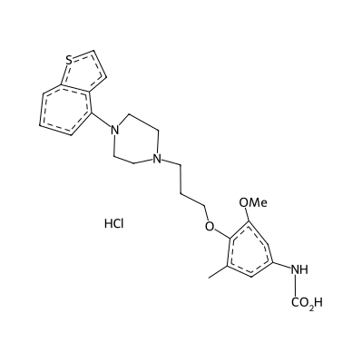 COc1cc(NC(=O)O)cc(C)c1OCCCN1CCN(c2cccc3sccc23)CC1.Cl